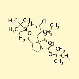 C=C(CCl)CC1(C(=O)OCC)C(CO[Si](C)(C)C(C)(C)C)CCN1C(=O)OC(C)(C)C